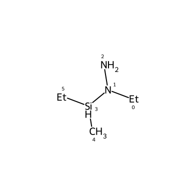 CCN(N)[SiH](C)CC